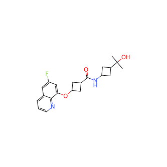 CC(C)(O)C1CC(NC(=O)C2CC(Oc3cc(F)cc4cccnc34)C2)C1